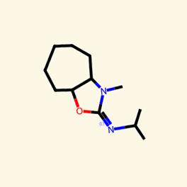 CC(C)/N=C1/OC2CCCCCC2N1C